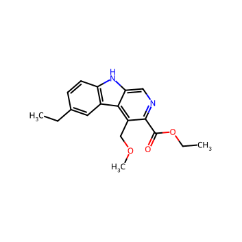 CCOC(=O)c1ncc2[nH]c3ccc(CC)cc3c2c1COC